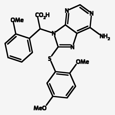 COc1ccc(OC)c(Sc2nc3c(N)ncnc3n2C(C(=O)O)c2ccccc2OC)c1